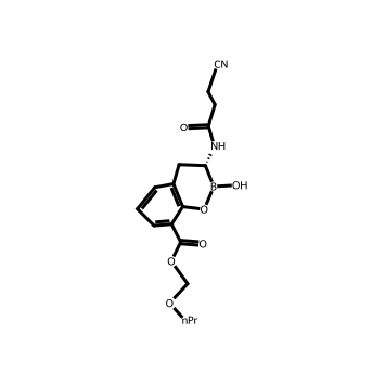 CCCOCOC(=O)c1cccc2c1OB(O)[C@@H](NC(=O)CCC#N)C2